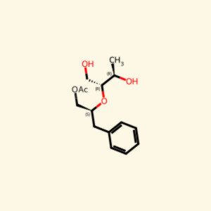 CC(=O)OC[C@H](Cc1ccccc1)O[C@H](CO)[C@@H](C)O